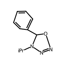 CC(C)N1N=NOC1c1ccccc1